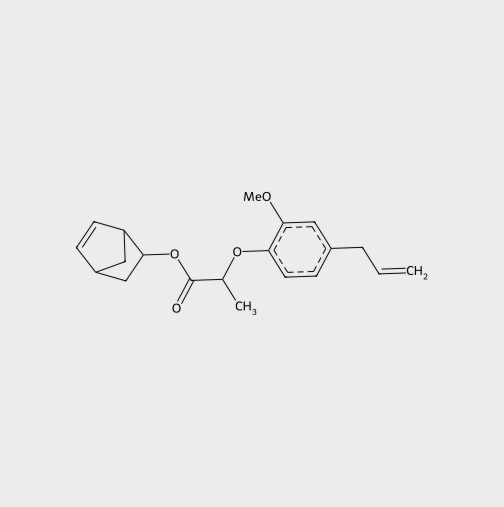 C=CCc1ccc(OC(C)C(=O)OC2CC3C=CC2C3)c(OC)c1